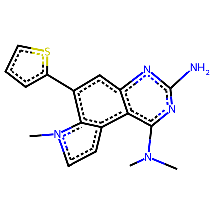 CN(C)c1nc(N)nc2cc(-c3cccs3)c3c(ccn3C)c12